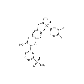 CN(Cc1ccc(OC(C(=O)O)c2cccc(S(C)(=O)=O)c2)cc1)S(=O)(=O)c1ccc(F)c(F)c1